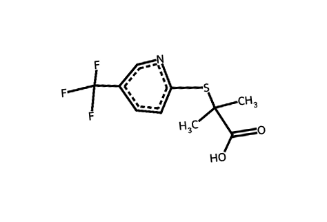 CC(C)(Sc1ccc(C(F)(F)F)cn1)C(=O)O